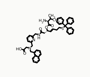 CC(C)[C@H](N)C(=O)O[C@H](C=CCCSC(c1ccccc1)(c1ccccc1)c1ccccc1)CC(=O)NCc1cccc(CN(CC(=O)O)Cc2cccc3ccccc23)n1